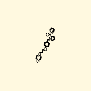 CN1CCN(CCCOc2ccc(CN3CCC[C@H]3C(=O)N3CCCC3)cc2)CC1